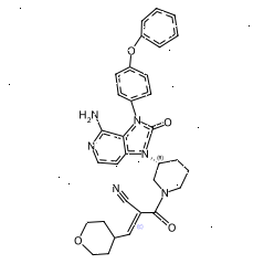 N#C/C(=C\C1CCOCC1)C(=O)N1CCC[C@@H](n2c(=O)n(-c3ccc(Oc4ccccc4)cc3)c3c(N)nccc32)C1